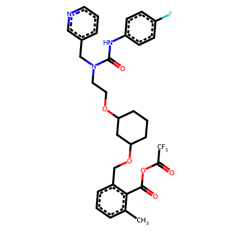 Cc1cccc(COC2CCCC(OCCN(Cc3cccnc3)C(=O)Nc3ccc(F)cc3)C2)c1C(=O)OC(=O)C(F)(F)F